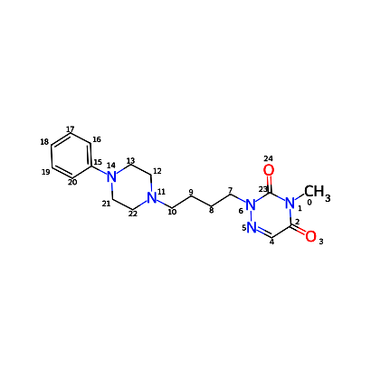 Cn1c(=O)cnn(CCCCN2CCN(c3ccccc3)CC2)c1=O